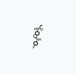 C=CC(=O)Nc1ccc2c(c1)CC[C@H]2Nc1ccc(F)cc1